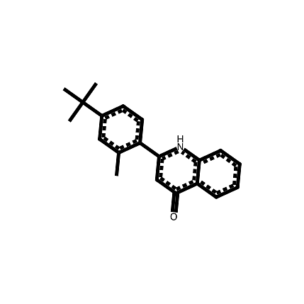 Cc1cc(C(C)(C)C)ccc1-c1cc(=O)c2ccccc2[nH]1